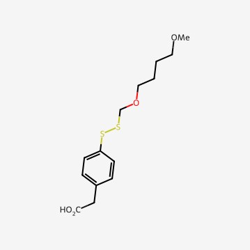 COCCCCOCSSc1ccc(CC(=O)O)cc1